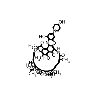 CC(=O)O[C@H]1[C@H](C)[C@H](O)[C@H](C)[C@@H](O)[C@@H](C)/C=C/C=C(/C)C(=O)Nc2c3oc4cc(N5CCC(O)CC5)cc(O)c4nc-3c3c4c(c(C)c(O)c3c2=O)O[C@](C)(O/C=C/C[C@H]1C)C4=O